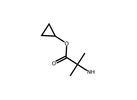 CC(C)([NH])C(=O)OC1CC1